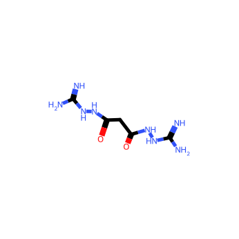 N=C(N)NNC(=O)CC(=O)NNC(=N)N